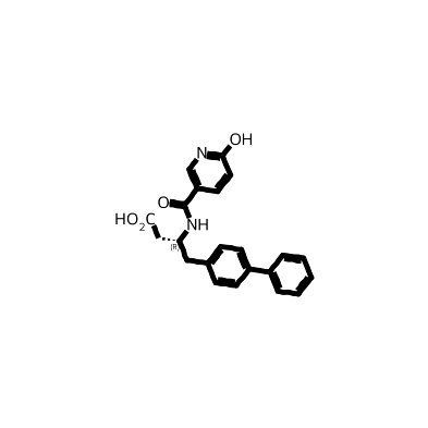 O=C(O)C[C@@H](Cc1ccc(-c2ccccc2)cc1)NC(=O)c1ccc(O)nc1